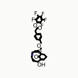 O=C(Cc1ccc(COCOC23C#C/C=C\C#CC(O)C(=CCC2)C3=O)cc1)Oc1c(F)c(F)c(F)c(F)c1F